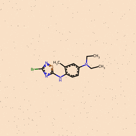 CCN(CC)c1ccc(Nc2nc(Br)ns2)c(C)c1